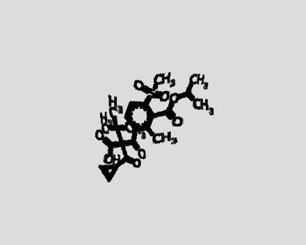 Cc1c(C(=O)C(C(=O)O)(C(=O)C2CC2)C(C)(C)C)ccc(S(C)(=O)=O)c1C(=O)OC(C)C